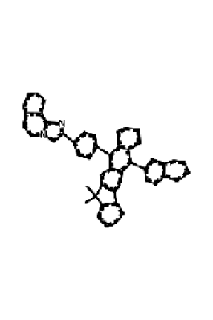 CC1(C)c2ccccc2-c2cc3c(-c4ccc5ccccc5c4)c4ccccc4c(-c4ccc(-c5cn6ccc7ccccc7c6n5)cc4)c3cc21